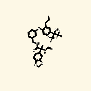 CCCc1cc(C(O)(C(F)(F)F)C(F)(F)F)ccc1Oc1cccc(CNC(=O)C(C)(NC=O)c2ccc3c(c2)OCO3)c1